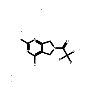 Cc1nc(Cl)c2c(n1)CN(C(=O)C(F)(F)F)C2